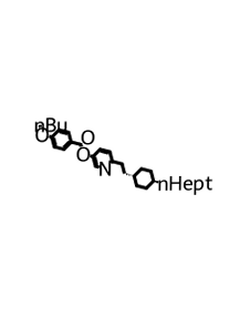 CCCCCCC[C@H]1CC[C@H](CCc2ccc(OC(=O)c3ccc(OCCCC)cc3)cn2)CC1